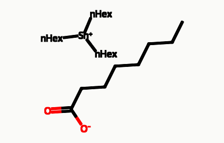 CCCCCCCC(=O)[O-].CCCCC[CH2][Sn+]([CH2]CCCCC)[CH2]CCCCC